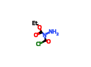 CCOC(=O)N(N)C(=O)Cl